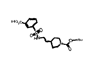 CC(C)(C)OC(=O)N1CCC(CCNS(=O)(=O)c2cccc(C(=O)O)c2)CC1